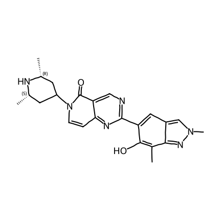 Cc1c(O)c(-c2ncc3c(=O)n(C4C[C@@H](C)N[C@@H](C)C4)ccc3n2)cc2cn(C)nc12